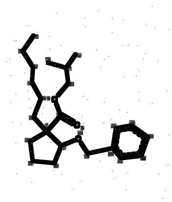 CCCCCCC1(C(=O)OCC(C)C)CCCC1OCc1ccccc1